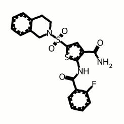 NC(=O)c1cc(S(=O)(=O)N2CCc3ccccc3C2)sc1NC(=O)c1ccccc1F